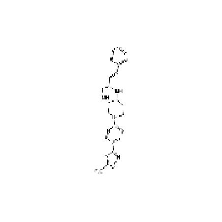 OCC(C=Cc1ccccc1)NC1CCN(c2ncc(-c3noc(C(F)(F)F)n3)cn2)CC1